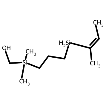 CC=C(C)[SiH2]CCC[Si](C)(C)CO